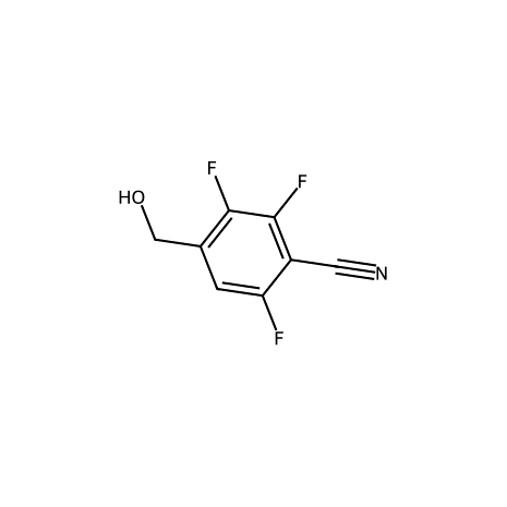 N#Cc1c(F)cc(CO)c(F)c1F